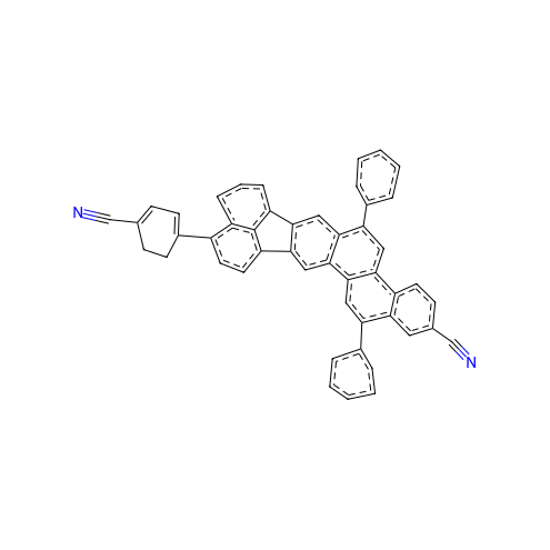 N#CC1=CC=C(c2ccc3c4c(cccc24)-c2cc4c(-c5ccccc5)cc5c6ccc(C#N)cc6c(-c6ccccc6)cc5c4cc2-3)CC1